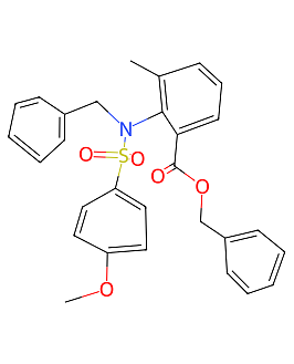 COc1ccc(S(=O)(=O)N(Cc2ccccc2)c2c(C)cccc2C(=O)OCc2ccccc2)cc1